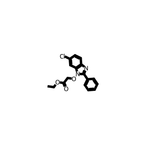 CCOC(=O)COn1c(-c2ccccc2)nc2ccc(Cl)cc21